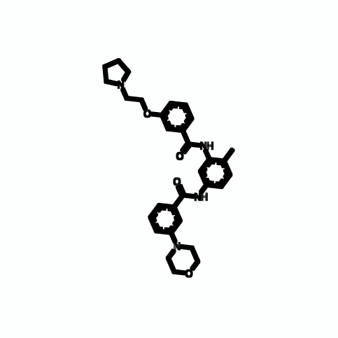 Cc1ccc(NC(=O)c2cccc(N3CCOCC3)c2)cc1NC(=O)c1cccc(OCCN2CCCC2)c1